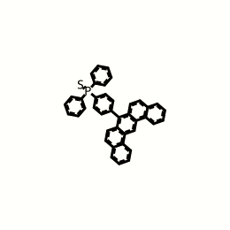 S=P(c1ccccc1)(c1ccccc1)c1ccc(-c2c3ccc4ccccc4c3cc3c2ccc2ccccc23)cc1